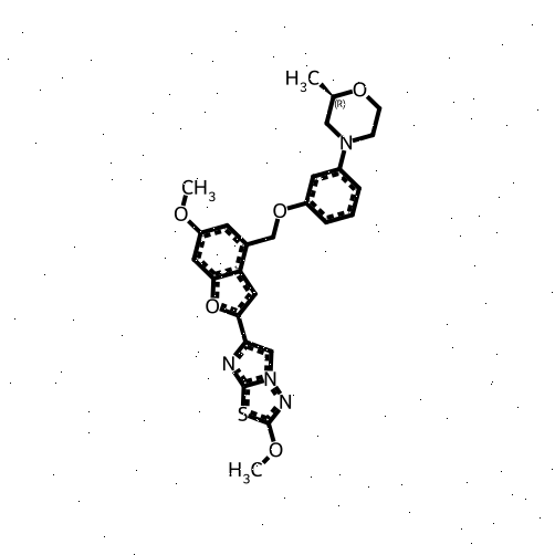 COc1cc(COc2cccc(N3CCO[C@H](C)C3)c2)c2cc(-c3cn4nc(OC)sc4n3)oc2c1